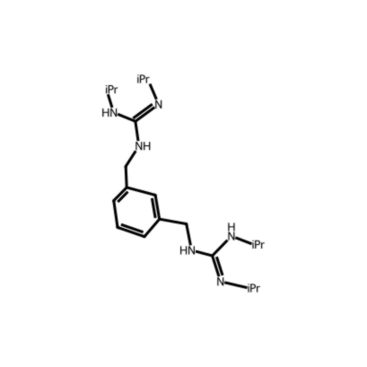 CC(C)N=C(NCc1cccc(CNC(=NC(C)C)NC(C)C)c1)NC(C)C